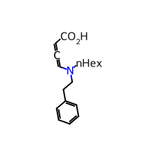 CCCCCCN(C=C=CC(=O)O)CCc1ccccc1